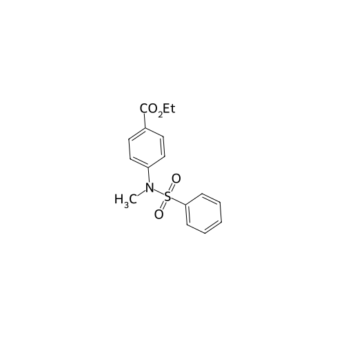 CCOC(=O)c1ccc(N(C)S(=O)(=O)c2ccccc2)cc1